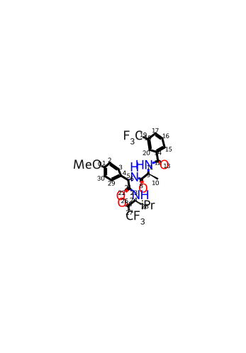 COc1ccc([C@H](NC(=O)[C@H](C)NC(=O)c2cccc(C(F)(F)F)c2)C(=O)N[C@H](C(=O)C(F)(F)F)C(C)C)cc1